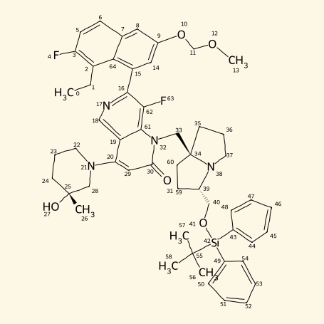 CCc1c(F)ccc2cc(OCOC)cc(-c3ncc4c(N5CCC[C@@](C)(O)C5)cc(=O)n(C[C@@]56CCCN5[C@H](CO[Si](c5ccccc5)(c5ccccc5)C(C)(C)C)CC6)c4c3F)c12